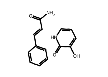 NC(=O)C=Cc1ccccc1.O=c1[nH]cccc1O